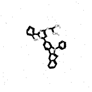 CC(C)Oc1cc(-c2ccc3c4cc5ccccc5cc4n(-c4ccccc4)c3c2)nc(-c2ccccc2O)n1